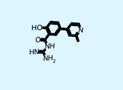 Cc1cc(-c2ccc(O)c(C(=O)NC(=N)N)c2)ccn1